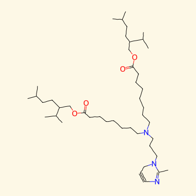 CC1=NC#CCN1CCCN(CCCCCCCC(=O)OCC(CCC(C)C)C(C)C)CCCCCCCC(=O)OCC(CCC(C)C)C(C)C